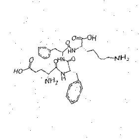 NCCCC[C@H](NC(=O)[C@H](Cc1ccccc1)NC(=O)[C@H](Cc1ccccc1)NC(=O)[C@H](N)CCC(=O)O)C(=O)O